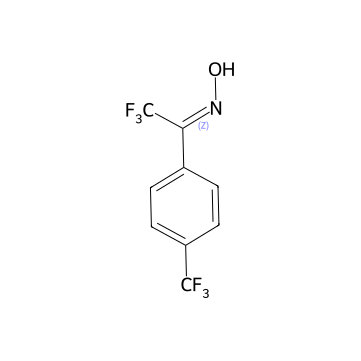 O/N=C(/c1ccc(C(F)(F)F)cc1)C(F)(F)F